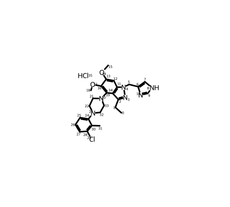 CCc1nn(Cc2c[nH]cn2)c2cc(OC)c(OC)c(N3CCN(c4cccc(Cl)c4C)CC3)c12.Cl